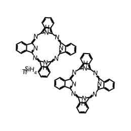 [SiH4].[Tl].c1ccc2c(c1)-c1nc-2nc2[nH]c(nc3nc(nc4[nH]c(n1)c1ccccc41)-c1ccccc1-3)c1ccccc21.c1ccc2c(c1)-c1nc-2nc2[nH]c(nc3nc(nc4[nH]c(n1)c1ccccc41)-c1ccccc1-3)c1ccccc21